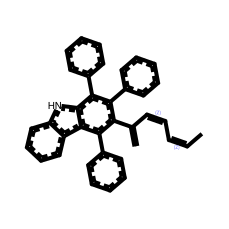 C=C(/C=C\C=C/C)c1c(-c2ccccc2)c(-c2ccccc2)c2[nH]c3ccccc3c2c1-c1ccccc1